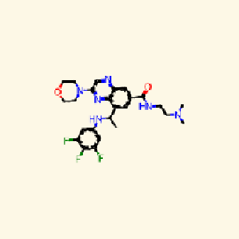 CC(Nc1cc(F)c(F)c(F)c1)c1cc(C(=O)NCCN(C)C)cc2ncc(N3CCOCC3)nc12